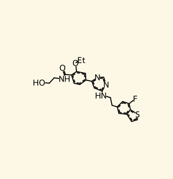 CCOc1cc(-c2cc(NCCc3cc(F)c4sccc4c3)ncn2)ccc1C(=O)NCCO